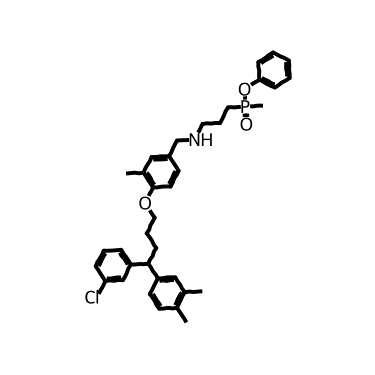 Cc1ccc(C(CCCOc2ccc(CNCCCP(C)(=O)Oc3ccccc3)cc2C)c2cccc(Cl)c2)cc1C